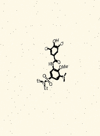 CCN(CC)S(=O)(=O)c1cc(NC(=O)c2cc(Cl)c(O)c(Cl)c2)c(OC)c(N(C)C)c1